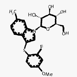 COc1ccc(Sc2cn([C@@H]3O[C@H](CO)[C@@H](O)[C@H](O)[C@H]3O)c3cc(C)ccc23)c(F)c1